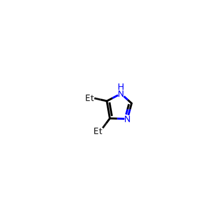 CCc1nc[nH]c1CC